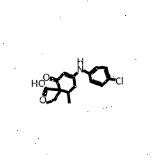 CCC1(C(=O)O)C(=O)C=C(Nc2ccc(Cl)cc2)CC1C